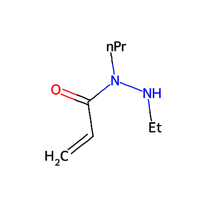 C=CC(=O)N(CCC)NCC